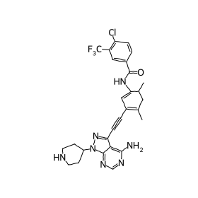 CC1=C(C#Cc2nn(C3CCNCC3)c3ncnc(N)c23)C=C(NC(=O)c2ccc(Cl)c(C(F)(F)F)c2)C(C)C1